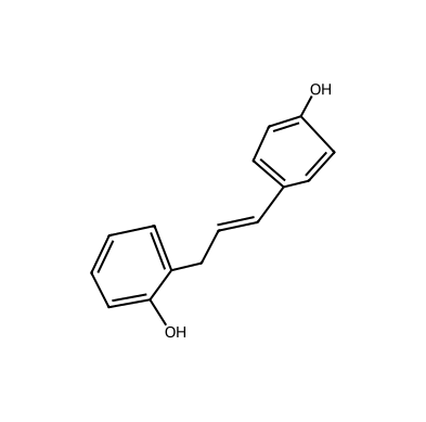 Oc1ccc(/C=C/Cc2ccccc2O)cc1